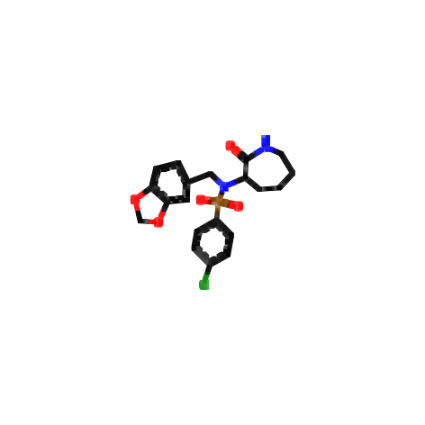 O=C1NCCCCC1N(Cc1ccc2c(c1)OCO2)S(=O)(=O)c1ccc(Cl)cc1